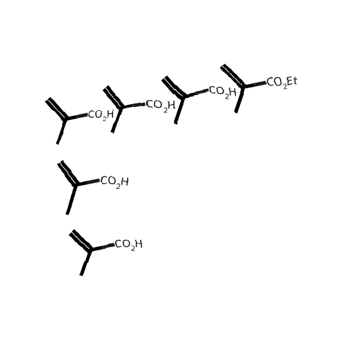 C=C(C)C(=O)O.C=C(C)C(=O)O.C=C(C)C(=O)O.C=C(C)C(=O)O.C=C(C)C(=O)O.C=C(C)C(=O)OCC